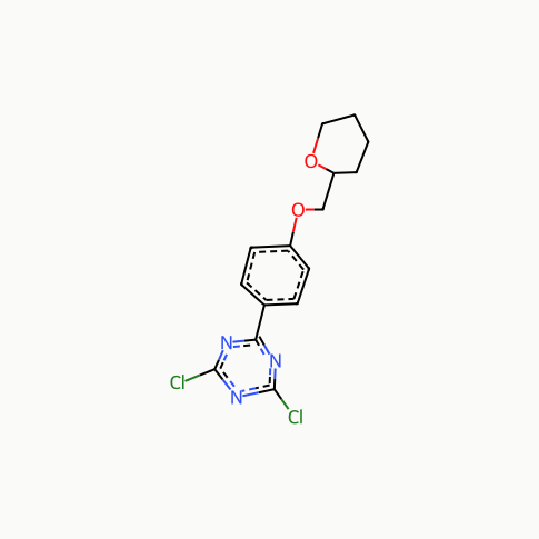 Clc1nc(Cl)nc(-c2ccc(OCC3CCCCO3)cc2)n1